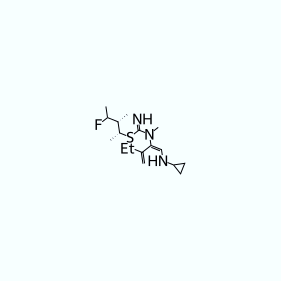 C=C(CC)/C(=C\NC1CC1)N(C)C(=N)S[C@H](C)[C@@H](C)C(C)F